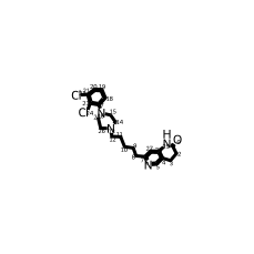 O=C1CCc2cnc(CCCCCN3CCN(c4cccc(Cl)c4Cl)CC3)cc2N1